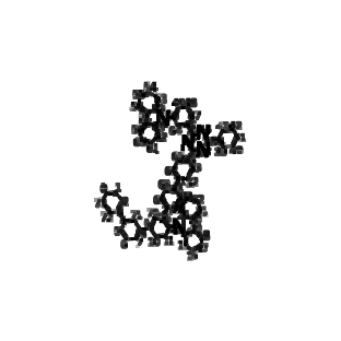 c1ccc(-c2cccc(-c3ccc(-n4c5ccccc5c5ccccc54)c(-c4ccc(-c5ccc(-c6nc(-c7ccccc7)nc(-c7cccc(-n8c9ccccc9c9ccccc98)c7)n6)cc5)cc4)c3)c2)cc1